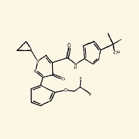 CC(C)(C#N)c1ccc(NC(=O)c2cn(C3CC3)nc(-c3ccccc3OCC(F)F)c2=O)cc1